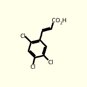 O=C(O)/C=C/c1cc(Cl)c(Cl)cc1Cl